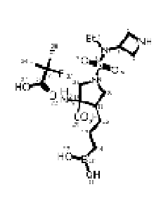 CCN(C1CNC1)S(=O)(=O)N1C[C@@H](CCCB(O)O)[C@@](N)(C(=O)O)C1.O=C(O)C(F)(F)F